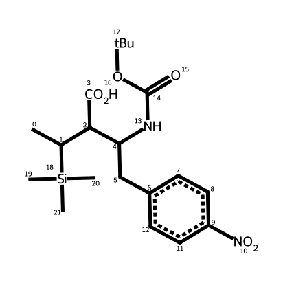 CC(C(C(=O)O)C(Cc1ccc([N+](=O)[O-])cc1)NC(=O)OC(C)(C)C)[Si](C)(C)C